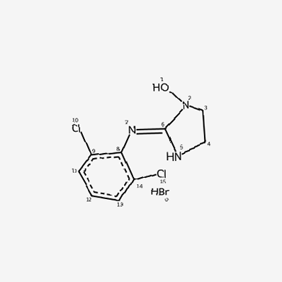 Br.ON1CCN/C1=N\c1c(Cl)cccc1Cl